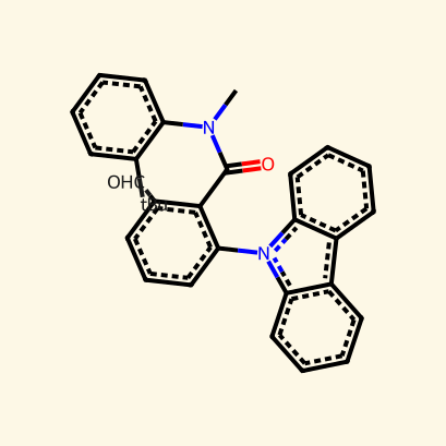 CN(C(=O)c1c(C=O)cccc1-n1c2ccccc2c2ccccc21)c1ccccc1C(C)(C)C